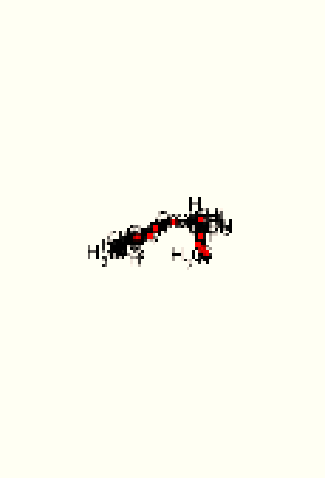 COc1cc(N2CCC(N3CCN(C(=O)CCOCCOCCC(=O)NC(C(=O)N4C[C@H](O)C[C@H]4C(=O)NCc4ccc(-c5scnc5C)cc4)C(C)(C)C)CC3)CC2)ccc1Nc1ncc(Cl)c(Nc2ccccc2P(C)(C)=O)n1